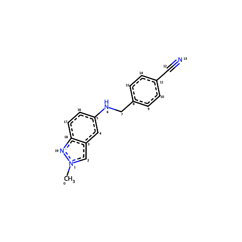 Cn1cc2cc(NCc3ccc(C#N)cc3)ccc2n1